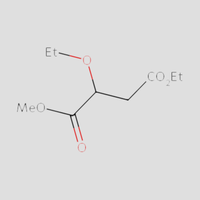 CCOC(=O)CC(OCC)C(=O)OC